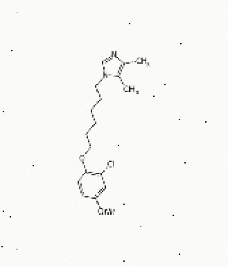 COc1ccc(OCCCCCCn2cnc(C)c2C)c(Cl)c1